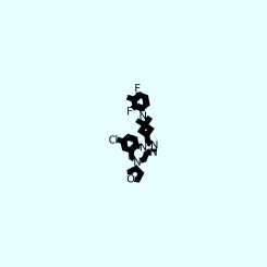 Cc1c(F)ccc(N2CC3(CC(c4nnc5n4-c4ccc(Cl)cc4CN([C@H]4CCOC4)C5)C3)C2)c1F